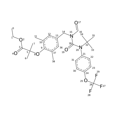 CCOC(=O)C(C)(C)Oc1c(C)cc(CN(C=O)C(=O)N(c2ccc(OC(F)(F)F)cc2)C(C)(C)C)cc1C